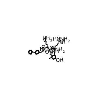 Cc1cc(O)cc(C)c1C[C@H](NC(=O)[C@H](N)CCCNC(=N)N)C(=O)N[C@@H](CCCCN)c1nc(Cc2ccc(-c3ccccc3)cc2)no1